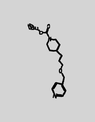 CC(C)(C)OC(=O)N1CCC(CCCOCc2ccncc2)CC1